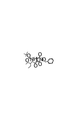 CCC(CC)C(NC(=O)OC(C)(C)C)C(=O)[C@@H]1C(=O)N(OCc2ccccc2)C(=O)[C@H]1C